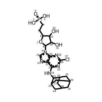 O=P(O)(O)CCC1OC(n2cnc3c(NC4C5CC6CC(C5)CC4C6)nc(Cl)nc32)C(O)C1O